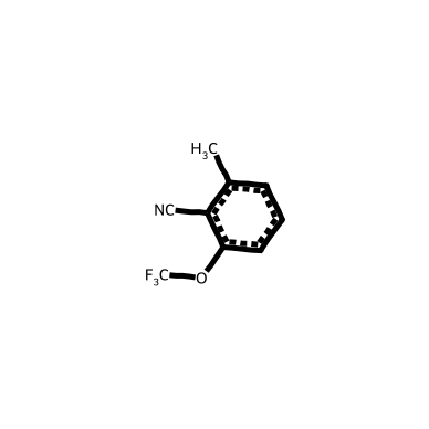 Cc1cccc(OC(F)(F)F)c1C#N